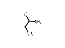 [Li][CH](N)CC